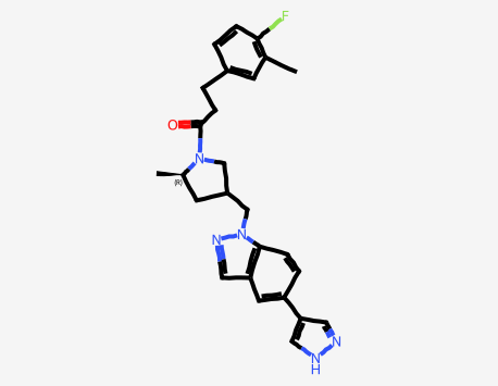 Cc1cc(CCC(=O)N2CC(Cn3ncc4cc(-c5cn[nH]c5)ccc43)C[C@H]2C)ccc1F